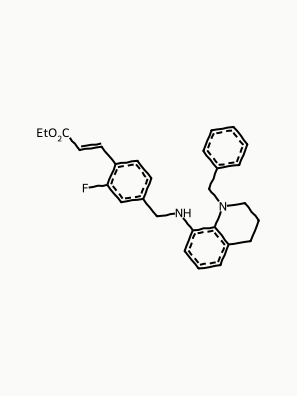 CCOC(=O)/C=C/c1ccc(CNc2cccc3c2N(Cc2ccccc2)CCC3)cc1F